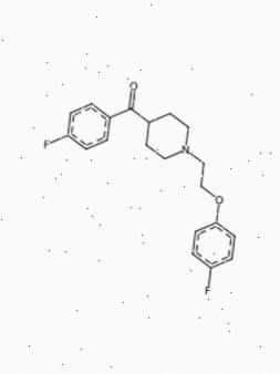 O=C(c1ccc(F)cc1)C1CCN(CCOc2ccc(F)cc2)CC1